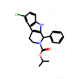 CC(C)OC(=O)N1CCc2c([nH]c3ccc(Cl)cc23)C1c1ccccc1